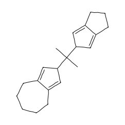 CC(C)(C1C=C2CCCCCC2=C1)C1C=C2CCCC2=C1